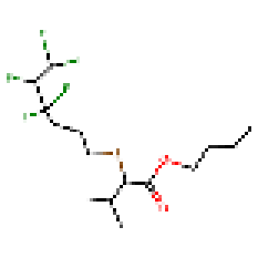 CCCCOC(=O)C(SCCCC(F)(F)C(F)C(F)F)C(C)C